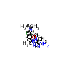 COC1C(C(C)n2nc(C)c3c(N)ncnc32)=CC=C(F)C1(Cl)C1CN(C(C)C)C1